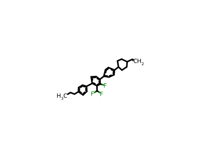 C=CC1CCC(c2ccc(-c3ccc(-c4ccc(CCC)cc4)c(C(F)F)c3F)cc2)CC1